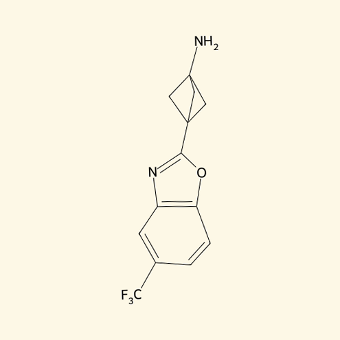 NC12CC(c3nc4cc(C(F)(F)F)ccc4o3)(C1)C2